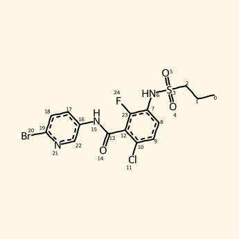 CCCS(=O)(=O)Nc1ccc(Cl)c(C(=O)Nc2ccc(Br)nc2)c1F